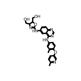 Cc1ccc(Oc2ccc(Nc3ncnc4ccc(NC5=NC(CO)C(CO)O5)cc34)cc2C)cn1